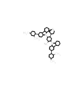 Cc1ccc(-c2ccc3c(c2)c2ccccc2n3-c2cc(-c3ccncc3)c(-n3c4ccccc4c4cc(-c5ccc(C)cc5C)ccc43)cc2C#N)c(C)c1